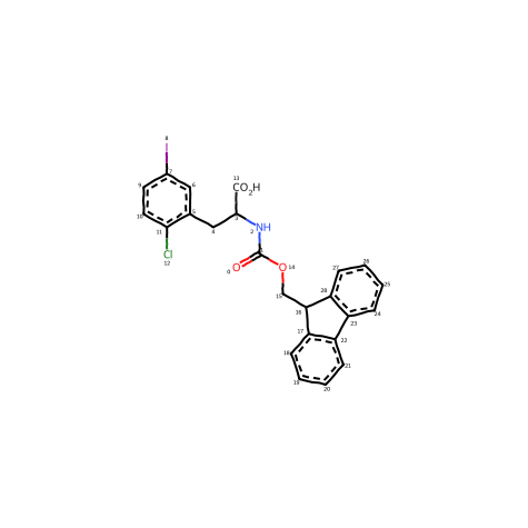 O=C(NC(Cc1cc(I)ccc1Cl)C(=O)O)OCC1c2ccccc2-c2ccccc21